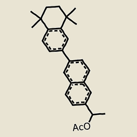 CC(=O)OC(C)c1ccc2cc(-c3ccc4c(c3)C(C)(C)CCC4(C)C)ccc2c1